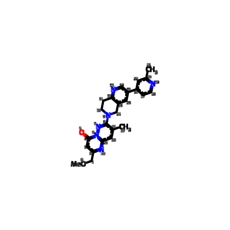 COCc1cc(=O)n2nc(N3CCc4ncc(-c5ccnc(C)c5)cc4C3)c(C)cc2n1